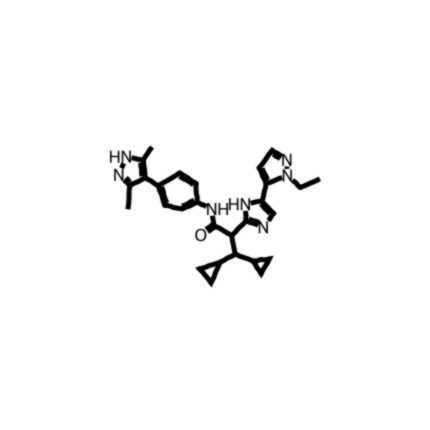 CCn1nccc1-c1cnc(C(C(=O)Nc2ccc(-c3c(C)n[nH]c3C)cc2)C(C2CC2)C2CC2)[nH]1